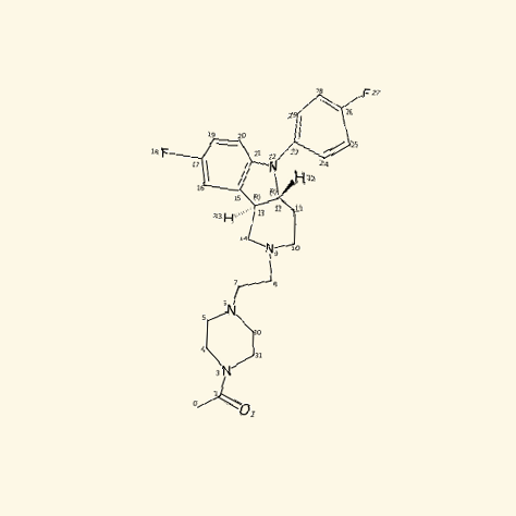 CC(=O)N1CCN(CCN2CC[C@@H]3[C@@H](C2)c2cc(F)ccc2N3c2ccc(F)cc2)CC1